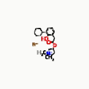 C[N+]1(C)CC[C@H](OC(=O)Cc2cccc(C3CCCCC3)c2O)C1.[Br-]